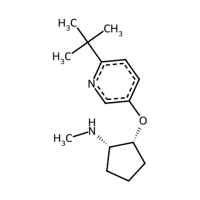 CN[C@H]1CCC[C@H]1Oc1ccc(C(C)(C)C)nc1